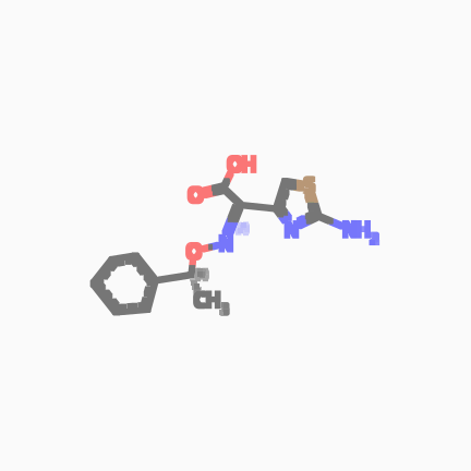 C[C@@H](O/N=C(\C(=O)O)c1csc(N)n1)c1ccccc1